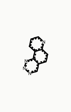 c1cnc2ccc3cnnnc3c2c1